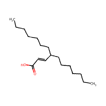 CCCCCCCC(C=CC(=O)O)CCCCCCC